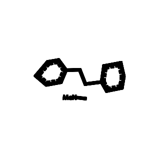 CNC.c1ccc(CCc2ccccc2)cc1